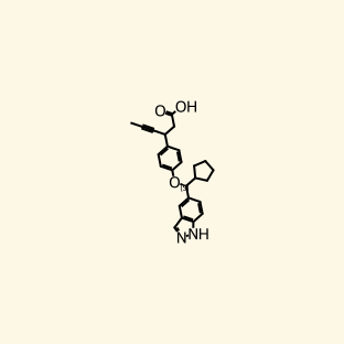 CC#CC(CC(=O)O)c1ccc(O[C@H](c2ccc3[nH]ncc3c2)C2CCCC2)cc1